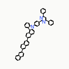 c1ccc(-c2cc(-c3ccccc3)nc(-c3ccc(-n4c5ccccc5c5c6ccc(-c7ccc8cc(-c9ccc%10ccccc%10c9)ccc8c7)cc6ccc54)cc3)n2)cc1